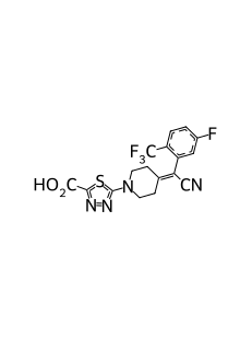 N#CC(=C1CCN(c2nnc(C(=O)O)s2)CC1)c1cc(F)ccc1C(F)(F)F